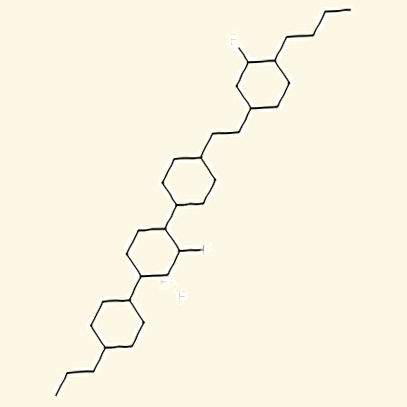 CCCCC1CCC(CCC2CCC(C3CCC(C4CCC(CCC)CC4)[C@@H](F)C3F)CC2)CC1F